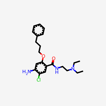 CCN(CC)CCNC(=O)c1cc(Cl)c(N)cc1OCCCc1ccccc1